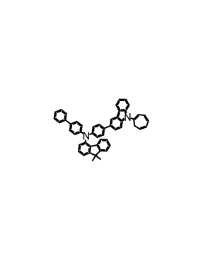 CC1(C)c2ccccc2-c2c(N(c3ccc(-c4ccccc4)cc3)c3ccc(-c4ccc5c(c4)c4ccccc4n5C4=CC=CC=CC4)cc3)cccc21